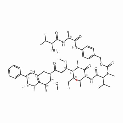 CCCCN(C(=O)C[C@@H](OC)[C@H]([C@@H](C)CC)N(C)C(=O)[C@@H](NC(=O)C(C(C)C)N(C)C(=O)OCc1ccc(NC(=O)[C@H](C)NC(=O)C(N)C(C)C)cc1)C(C)C)[C@H](OC)[C@@H](C)C(=O)N[C@H](C)[C@@H](O)c1ccccc1